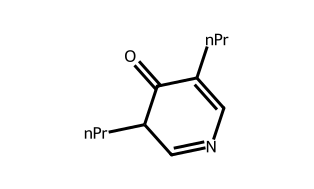 CCCC1=CN=CC(CCC)C1=O